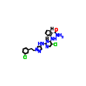 NC(=O)[C@@H]1[C@H](Nc2nc(Nc3cnn(CCc4cccc(Cl)c4)c3)ncc2Cl)[C@H]2C=C[C@@H]1C2